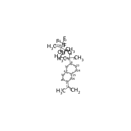 C=C(C)c1ccc2cc(C(C)(C)OC(C)(C)C(C)(O)C(F)(F)F)ccc2c1